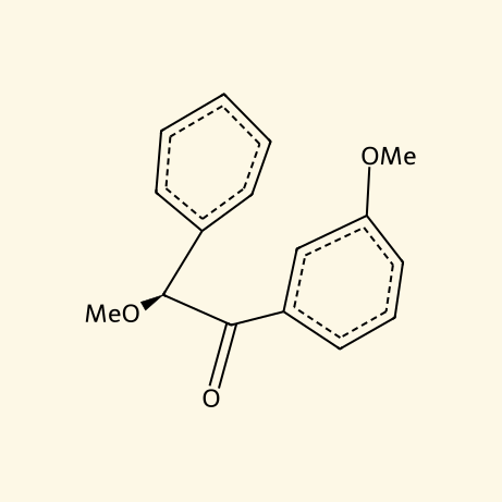 COc1cccc(C(=O)[C@@H](OC)c2ccccc2)c1